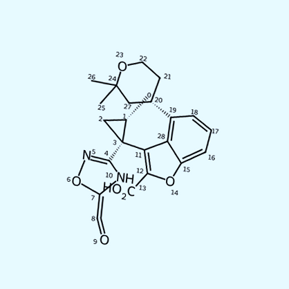 C[C@H]1C[C@]1(C1=NOC(=C=O)N1)c1c(C(=O)O)oc2cccc([C@H]3CCOC(C)(C)C3)c12